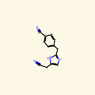 N#CCc1cnc(Cc2ccc(C#N)cc2)[nH]1